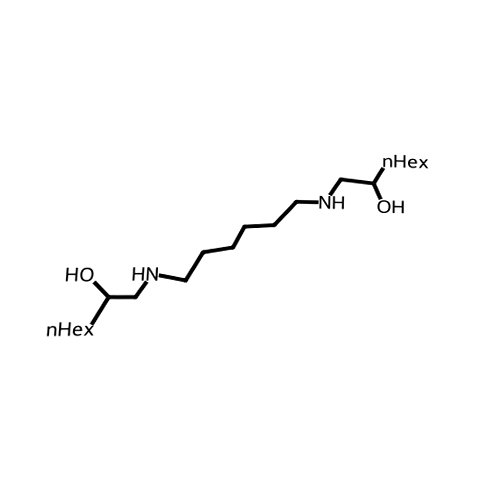 CCCCCCC(O)CNCCCCCCNCC(O)CCCCCC